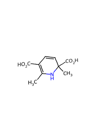 CC1=C(C(=O)O)C=CC(C)(C(=O)O)N1